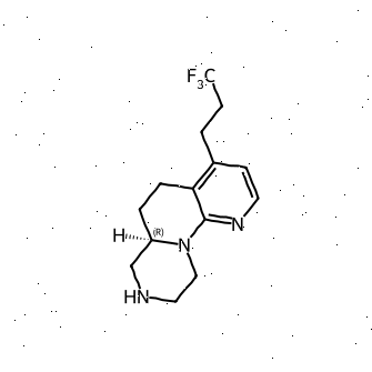 FC(F)(F)CCc1ccnc2c1CC[C@@H]1CNCCN21